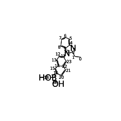 CCc1nc2ccccc2n1-c1ccc2cc(B(O)O)ccc2c1